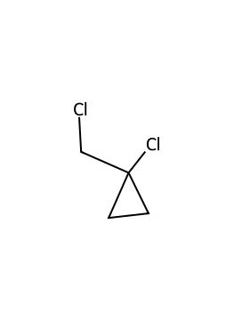 ClCC1(Cl)CC1